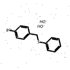 [B+2]c1ccc(CSc2ccccc2)cc1.[OH-].[OH-]